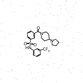 O=C(c1cccc(S(=O)(=O)Nc2cccc(C(F)(F)F)c2)c1)N1CCC(N2CCCC2)CC1